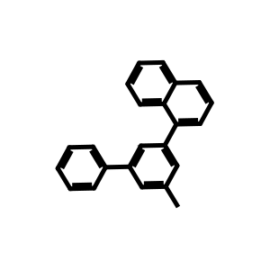 Cc1cc(-c2ccccc2)[c]c(-c2cccc3ccccc23)c1